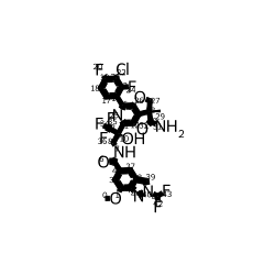 COc1cc(C(=O)NC[C@](O)(c2cc3c(c(-c4ccc(F)c(Cl)c4F)n2)OC[C@]3(C)C(N)=O)C(F)(F)F)cc2cn(C(F)F)nc12